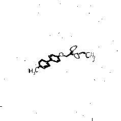 CCOC(=O)COc1ccc(-c2ccc(C)cc2)cc1